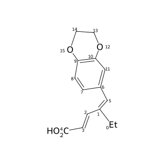 CCC(C=CC(=O)O)=Cc1ccc2c(c1)OCCO2